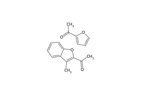 CC(=O)c1ccco1.CC(=O)c1oc2ccccc2c1C